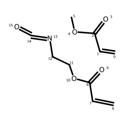 C=CC(=O)OC.C=CC(=O)OCCN=C=O